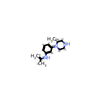 C=C(C)Nc1cccc(N2CCNC[C@H]2C)c1